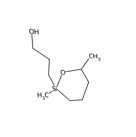 CC1CCC[Si](C)(CCCO)O1